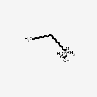 CCCCCCCC/C=C\CCCCCCCC(=O)[N+](C)(C)CC(=O)O